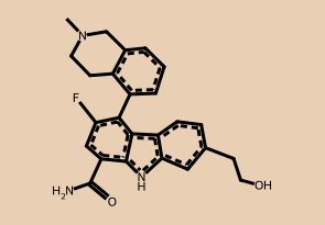 CN1CCc2c(cccc2-c2c(F)cc(C(N)=O)c3[nH]c4cc(CCO)ccc4c23)C1